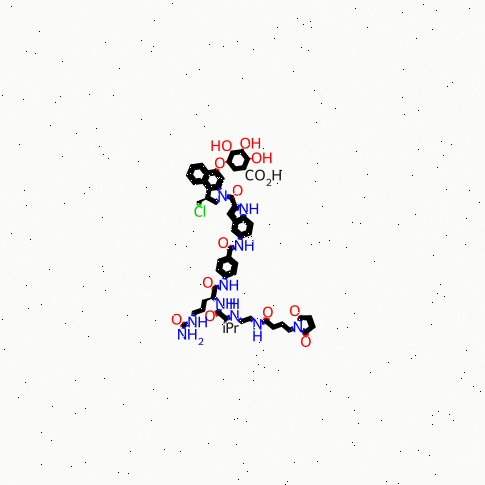 CC(C)[C@H](NCCNC(=O)CCCN1C(=O)C=CC1=O)C(=O)N[C@@H](CCCNC(N)=O)C(=O)Nc1ccc(C(=O)Nc2ccc3[nH]c(C(=O)N4C[C@@H](CCl)c5c4cc(O[C@H]4C[C@H](C(=O)O)[C@@H](O)[C@H](O)[C@H]4O)c4ccccc54)cc3c2)cc1